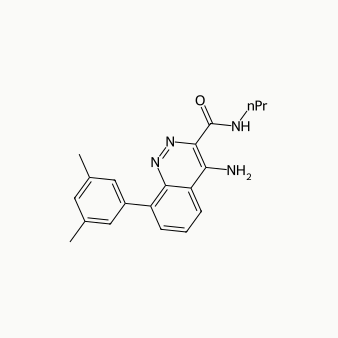 CCCNC(=O)c1nnc2c(-c3cc(C)cc(C)c3)cccc2c1N